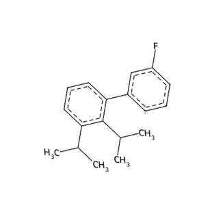 CC(C)c1cccc(-c2[c]ccc(F)c2)c1C(C)C